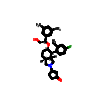 Cc1cc(F)ccc1[C@H]1[C@@H]2CN(C3=CC(=O)CC3)C[C@H]2CC[C@@H]1O[C@H](CO)c1cc(C(F)(F)F)cc(C(F)(F)F)c1